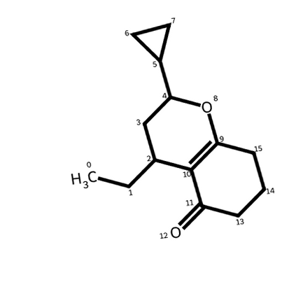 CCC1CC(C2CC2)OC2=C1C(=O)CCC2